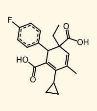 CCC1(C(=O)O)C=C(C)C(C2CC2)=C(C(=O)O)C1c1ccc(F)cc1